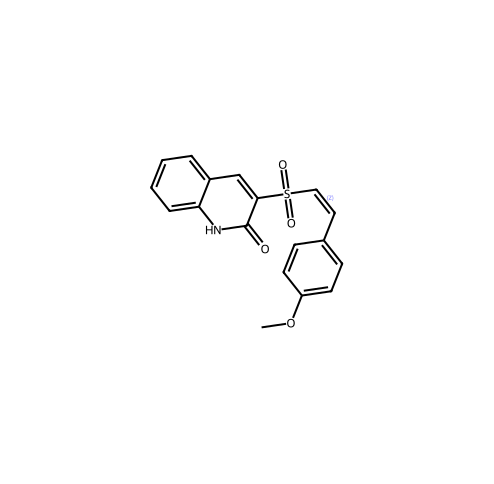 COc1ccc(/C=C\S(=O)(=O)c2cc3ccccc3[nH]c2=O)cc1